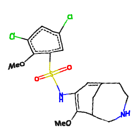 COC1=C(NS(=O)(=O)c2cc(Cl)cc(Cl)c2OC)C=C2CCNCC1C2